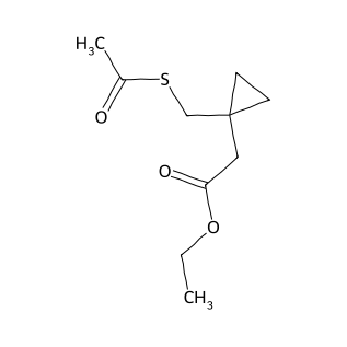 CCOC(=O)CC1(CSC(C)=O)CC1